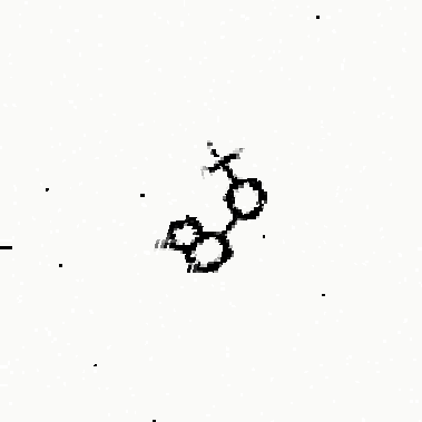 FC(F)(F)c1cccc(-c2ccnc3[nH]ccc23)c1